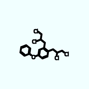 ClCC(Cl)Cc1ccc(Oc2ccccc2)cc1CC(Cl)CCl